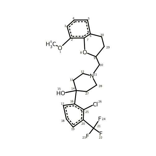 COc1cccc2c1OC(CN1CCC(O)(c3cccc(C(F)(F)F)c3Cl)CC1)CC2